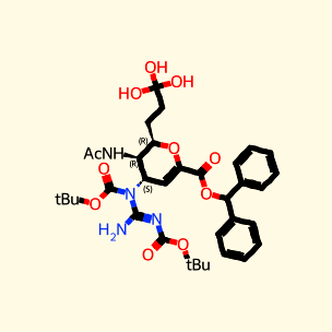 CC(=O)N[C@H]1[C@@H](CCC(O)(O)O)OC(C(=O)OC(c2ccccc2)c2ccccc2)=C[C@@H]1N(C(=O)OC(C)(C)C)C(N)=NC(=O)OC(C)(C)C